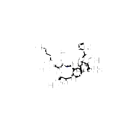 CO[C@H]1C[C@H]2C=C[C@]3(C)C[C@]2(O[C@H]3[C@H](OC(=O)c2ccc[nH]2)[C@H](C)[C@H](C)O)/C(C)=C/[C@@H](C)[C@@H]([C@@H](C)OC(=O)CCCCl)OC1=O